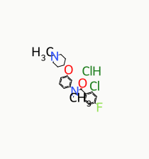 CN1CCC(Oc2cccc(N(C)C(=O)c3ccc(F)cc3Cl)c2)CC1.Cl